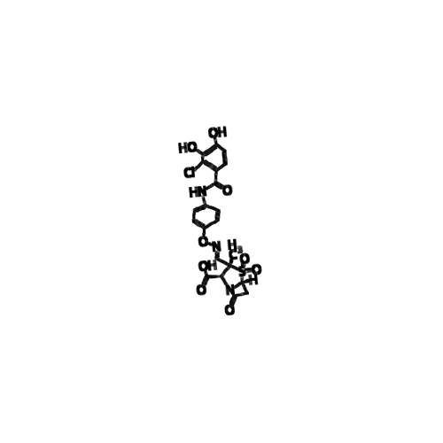 C[C@]1(/C=N/Oc2ccc(NC(=O)c3ccc(O)c(O)c3Cl)cc2)[C@H](C(=O)O)N2C(=O)C[C@H]2S1(=O)=O